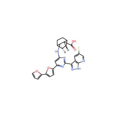 O=C(O)[C@H]1C2CCC(CC2)[C@@H]1Nc1cc(-c2ccc(-c3ccco3)o2)nc(-c2n[nH]c3ncc(F)cc23)n1